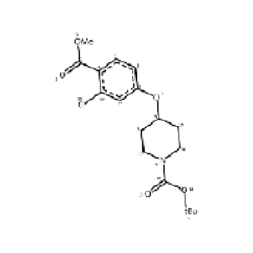 COC(=O)c1ccc(OC2CCN(C(=O)OC(C)(C)C)CC2)cc1Cl